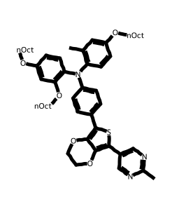 CCCCCCCCOc1ccc(N(c2ccc(-c3sc(-c4cnc(C)nc4)c4c3OCCO4)cc2)c2ccc(OCCCCCCCC)cc2OCCCCCCCC)c(C)c1